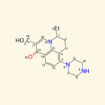 CCC1CCc2c(N3CCNCC3)ccc3c(=O)c(C(=O)O)cn1c23